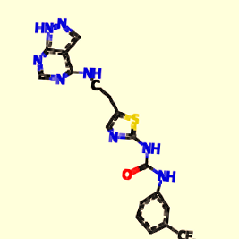 O=C(Nc1cccc(C(F)(F)F)c1)Nc1ncc(CCNc2ncnc3[nH]ncc23)s1